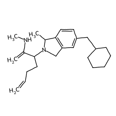 C=CCCC(C(=C)NC)N1Cc2cc(CC3CCCCC3)ccc2C1C